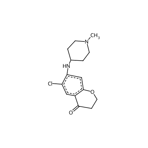 CN1CCC(Nc2cc3c(cc2Cl)C(=O)CCO3)CC1